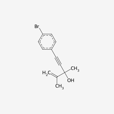 C=C(C)C(C)(O)C#Cc1ccc(Br)cc1